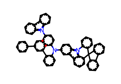 c1ccc(-c2cccc(-c3ccccc3N(c3ccc(-n4c5ccccc5c5ccccc54)cc3)c3ccc4c(c3)c3cccc5c3n4-c3ccccc3C53c4ccccc4-c4ccccc43)c2)cc1